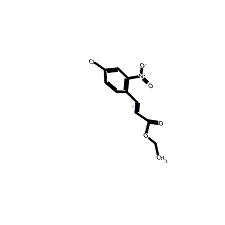 CCOC(=O)/C=C/c1ccc(Cl)cc1[N+](=O)[O-]